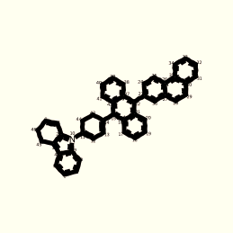 C1=Cc2c(c3ccccc3n2C2=CC=C(c3c4ccccc4c(-c4ccc5c(ccc6ccccc65)c4)c4ccccc34)CC2)CC1